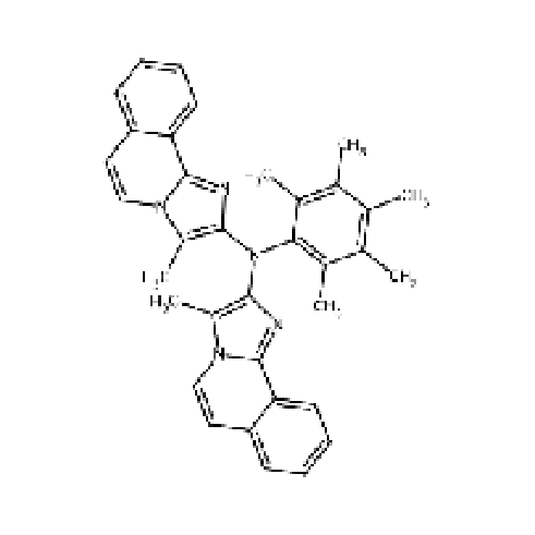 Cc1c(C)c(C)c(N(c2nc3c4ccccc4ccn3c2C)c2nc3c4ccccc4ccn3c2C)c(C)c1C